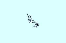 O/N=C(/Cc1ccc(F)cc1F)c1ccc(C2=NOC(O)(C(F)(F)F)C2)cc1